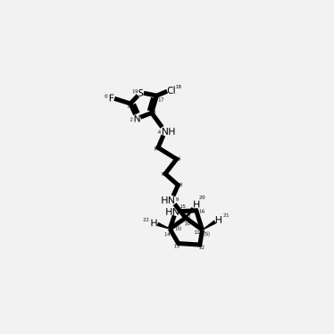 Fc1nc(NCCCCN[C@@H]2[C@H]3CC[C@@H]2NC3)c(Cl)s1